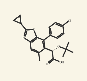 Cc1cc2nc(C3CC3)sc2c(-c2ccc(Cl)cc2)c1[C@H](OC(C)(C)C)C(=O)O